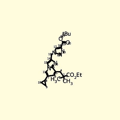 CCOC(=O)C(C)(C)Cc1cc(C2CC2)cn2cc(Cn3cc(C(=O)OC(C)(C)C)nn3)nc12